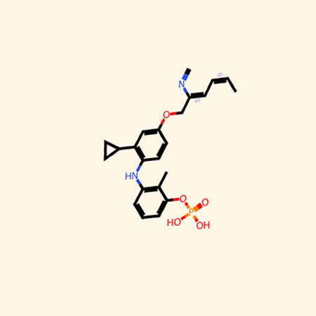 C=N/C(=C\C=C/C)COc1ccc(Nc2cccc(OP(=O)(O)O)c2C)c(C2CC2)c1